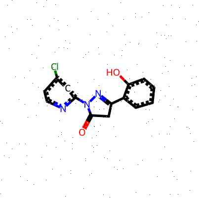 O=C1CC(c2ccccc2O)=NN1c1cc(Cl)ccn1